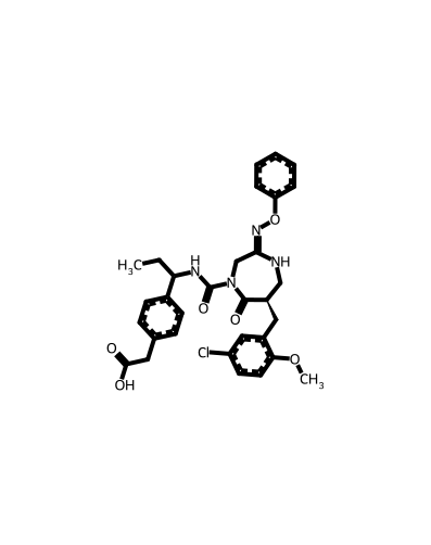 CCC(NC(=O)N1C/C(=N/Oc2ccccc2)NC[C@@H](Cc2cc(Cl)ccc2OC)C1=O)c1ccc(CC(=O)O)cc1